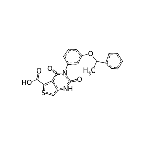 CC(Oc1cccc(-n2c(=O)[nH]c3csc(C(=O)O)c3c2=O)c1)c1ccccc1